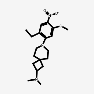 CCc1cc([N+](=O)[O-])c(OC)cc1N1CCC2(CC1)CC(N(C)C)C2